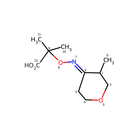 CC1COCC/C1=N\OC(C)(C)C(=O)O